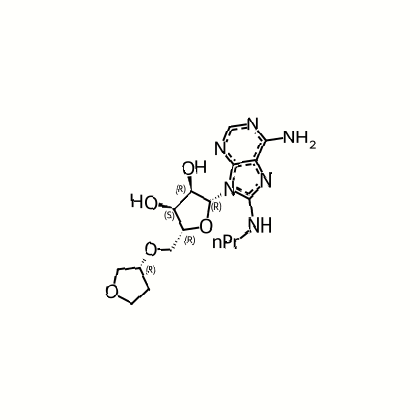 CCCNc1nc2c(N)ncnc2n1[C@@H]1O[C@H](CO[C@@H]2CCOC2)[C@@H](O)[C@H]1O